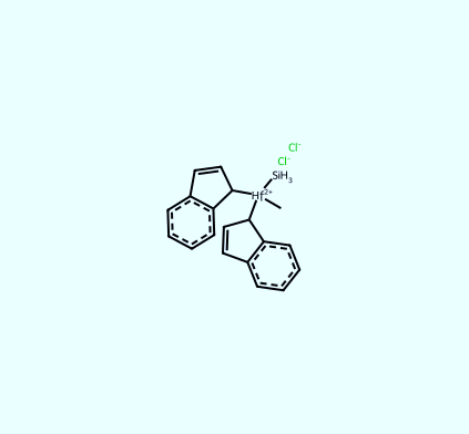 [CH3][Hf+2]([SiH3])([CH]1C=Cc2ccccc21)[CH]1C=Cc2ccccc21.[Cl-].[Cl-]